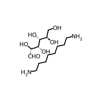 NCCCCCCCCN.O=C[C@H](O)[C@@H](O)[C@H](O)[C@H](O)CO